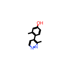 Cc1cc(O)ccc1-c1ccnnc1C